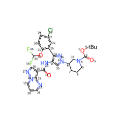 CC(C)(C)OC(=O)N1CCCC(n2cc(NC(=O)c3cnn4cccnc34)c(-c3cc(Cl)ccc3OC(F)F)n2)C1